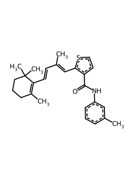 CC(C=CC1=C(C)CCCC1(C)C)=Cc1sccc1C(=O)Nc1cccc(C)c1